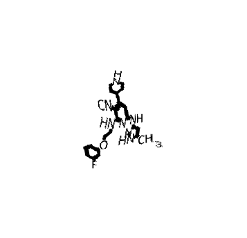 [C-]#[N+]c1c(C2CCNCC2)cc(Nc2cc(C)[nH]n2)nc1NCCOc1cccc(F)c1